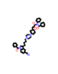 N#Cc1ccc2c(c1)c(CCCCN1CCN(c3ccc4oc(C(=O)N(C(=O)c5ccccc5)c5ccccc5)cc4c3)CC1)cn2C(=O)c1ccccc1